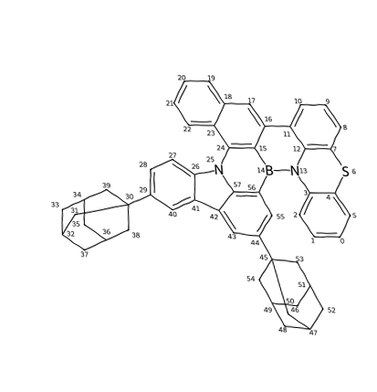 c1ccc2c(c1)Sc1cccc3c1N2B1c2c-3cc3ccccc3c2-n2c3ccc(C45CC6CC(CC(C6)C4)C5)cc3c3cc(C45CC6CC(CC(C6)C4)C5)cc1c32